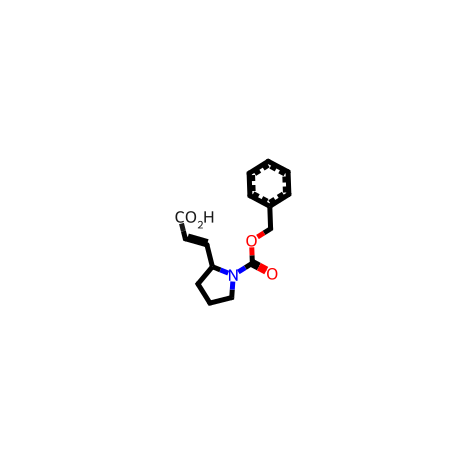 O=C(O)C=CC1CCCN1C(=O)OCc1ccccc1